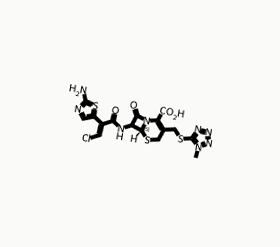 Cn1nnnc1SCC1=C(C(=O)O)N2C(=O)C(NC(=O)C(=CCl)c3cnc(N)s3)[C@@H]2SC1